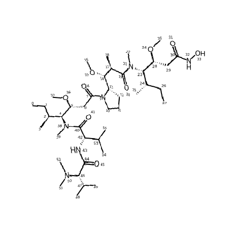 CC[C@H](C)[C@@H]([C@@H](CC(=O)N1CCC[C@H]1[C@H](OC)[C@@H](C)C(=O)N(C)[C@@H]([C@@H](C)CC)[C@@H](CC(=O)NO)OC)OC)N(C)C(=O)[C@@H](NC(=O)[C@H](C(C)C)N(C)C)C(C)C